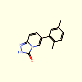 Cc1ccc(C)c(-c2ccc3n[nH]c(=O)n3c2)c1